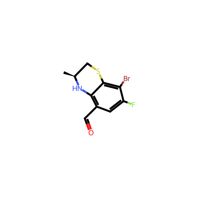 C[C@H]1CSc2c(Br)c(F)cc(C=O)c2N1